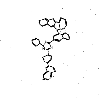 c1ccc(-c2nc(-c3ccc(-c4ccc5ccccc5c4)cc3)nc(-c3cc(-n4c5ccccc5c5cc6ccccc6cc54)c4ccccc4c3)n2)cc1